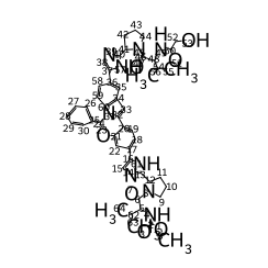 COC(=O)NC(C(=O)N1CCCC1c1ncc(-c2ccc3c(c2)OC(c2ccccc2)n2c-3cc3cc(-c4cnc(C5CCCN5C(=O)C(NC(=O)CO)C(C)C)[nH]4)ccc32)[nH]1)C(C)C